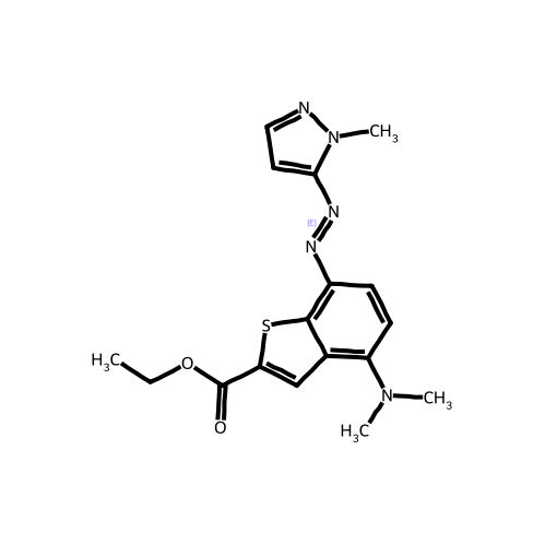 CCOC(=O)c1cc2c(N(C)C)ccc(/N=N/c3ccnn3C)c2s1